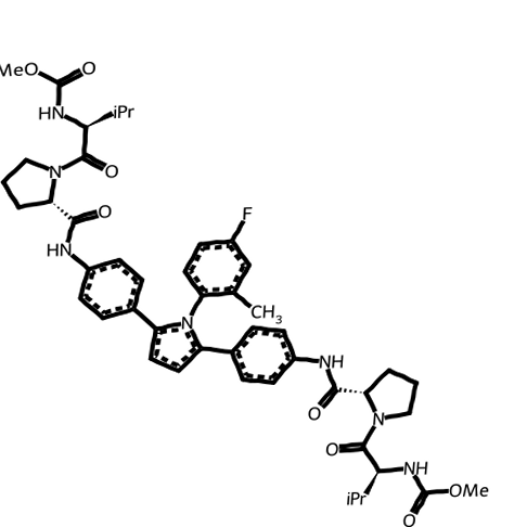 COC(=O)N[C@H](C(=O)N1CCC[C@H]1C(=O)Nc1ccc(-c2ccc(-c3ccc(NC(=O)[C@@H]4CCCN4C(=O)[C@@H](NC(=O)OC)C(C)C)cc3)n2-c2ccc(F)cc2C)cc1)C(C)C